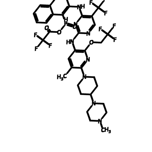 Cc1cc(Nc2ncc(C(F)(F)F)c(Nc3ccc4ccccc4c3[PH](=O)OC(=O)C(F)(F)F)n2)c(OCC(F)(F)F)nc1N1CCC(N2CCN(C)CC2)CC1